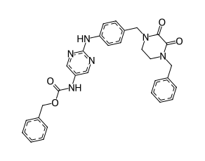 O=C(Nc1cnc(Nc2ccc(CN3CCN(Cc4ccccc4)C(=O)C3=O)cc2)nc1)OCc1ccccc1